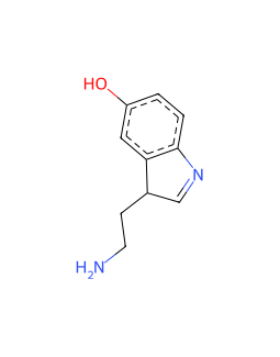 NCCC1C=Nc2ccc(O)cc21